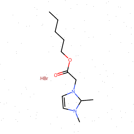 Br.CCCCCOC(=O)CN1C=CN(C)C1C